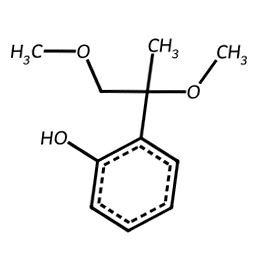 COCC(C)(OC)c1ccccc1O